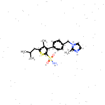 Cc1c(CC(C)C)sc(S(N)(=O)=O)c1-c1ccc(Cn2ccnc2C)cc1